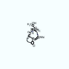 CO[C@H]1/C=C/C[C@H](C)[C@](C)(NC(=O)C2CC(C)(O)C2)/[SH](=O)=N\C(=O)C2=CC=C3OCCCCc4cc(Cl)ccc4CN(C[C@@H]4CC[C@H]41)C3C2